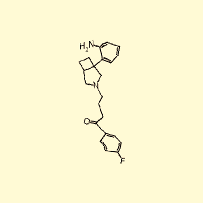 Nc1ccccc1C12CCC1CN(CCCC(=O)c1ccc(F)cc1)C2